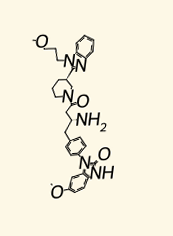 COCCCn1c([C@@H]2CCCN(C(=O)C[C@H](N)Cc3ccc(-n4c(=O)[nH]c5ccc(OC)cc54)cc3)C2)nc2ccccc21